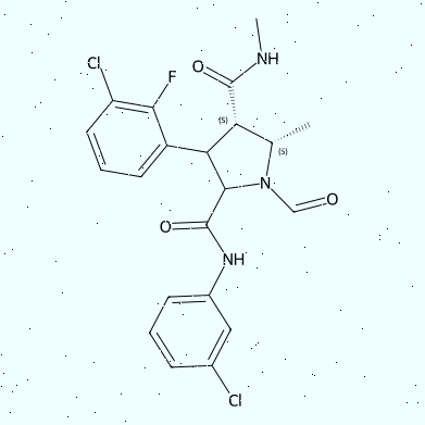 CNC(=O)[C@H]1C(c2cccc(Cl)c2F)C(C(=O)Nc2cccc(Cl)c2)N(C=O)[C@H]1C